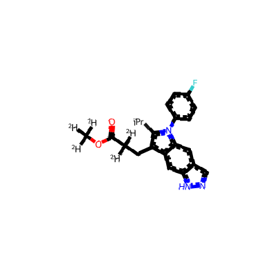 [2H]C([2H])([2H])OC(=O)C([2H])([2H])Cc1c(C(C)C)n(-c2ccc(F)cc2)c2cc3cn[nH]c3cc12